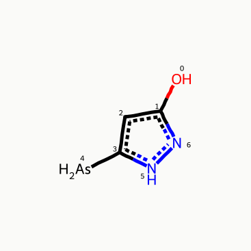 Oc1cc([AsH2])[nH]n1